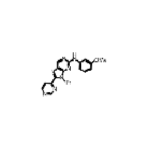 COc1cccc(Nc2ncc3nc(-c4ccncn4)n(C(C)C)c3n2)c1